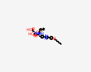 CCCCCCCOc1ccc(-c2cnc(-c3ccc(C[C@H](NC(=O)c4ccc(C(C)(C)C)s4)C(=O)N[C@@H](CCC(=O)O)C(=O)O)cc3)nc2)cc1